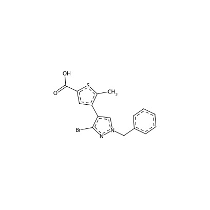 Cc1sc(C(=O)O)cc1-c1cn(Cc2ccccc2)nc1Br